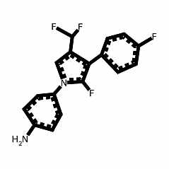 Nc1ccc(-n2cc(C(F)F)c(-c3ccc(F)cc3)c2F)cc1